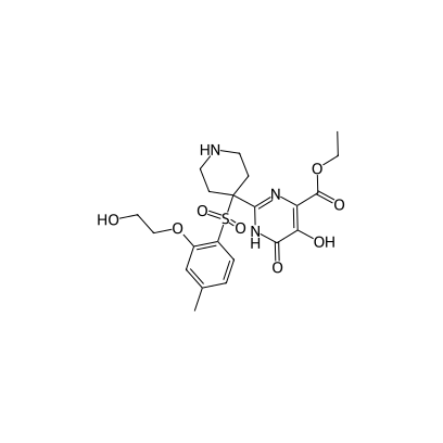 CCOC(=O)c1nc(C2(S(=O)(=O)c3ccc(C)cc3OCCO)CCNCC2)[nH]c(=O)c1O